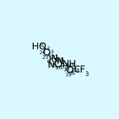 Oc1ccc(-c2cnc3ccc(Nc4cccc(C(F)(F)F)c4)nc3n2)cc1